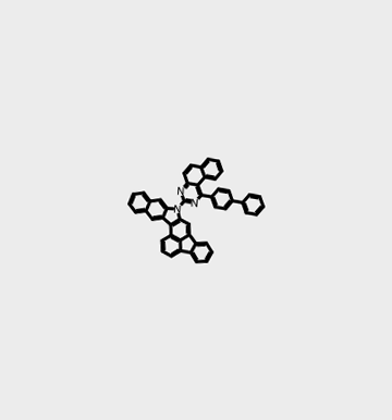 c1ccc(-c2ccc(-c3nc(-n4c5cc6ccccc6cc5c5c6cccc7c6c(cc54)-c4ccccc4-7)nc4ccc5ccccc5c34)cc2)cc1